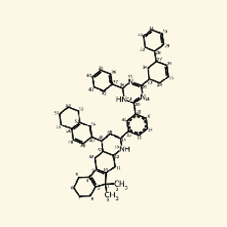 CC1(C)C2=C(CCCC2)C2=C1CC1NC(c3cccc(C4=NC(C5CC=CC(C6C=CC=CC6)C5)=NC(C5=CC=CCC5)N4)c3)CC(C3C=CC4=C(CCCC4)C3)C1C2